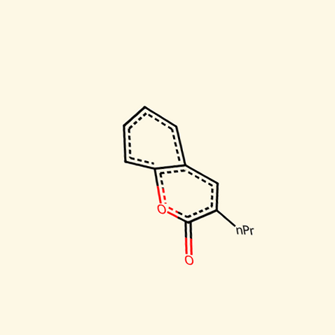 CCCc1cc2ccccc2oc1=O